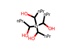 CCC[CH](O)[Zr]([CH](O)CCC)([CH](O)CCC)[CH](O)CCC